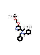 C[C@H](c1ccccc1)N(Cc1ccccc1)C(CC(=O)O)c1cncc(OCCO[Si](C)(C)C(C)(C)C)c1